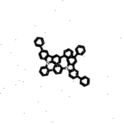 c1ccc(-c2ccc3c(c2)c2cc(-c4ccccc4)ccc2n3-c2ccc(-c3ccccc3-n3c4ccc(-c5ccccc5)cc4c4cc(-c5ccccc5)ccc43)cc2)cc1